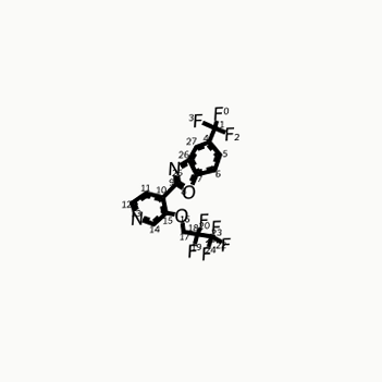 FC(F)(F)c1ccc2oc(-c3ccncc3OCC(F)(F)C(F)(F)F)nc2c1